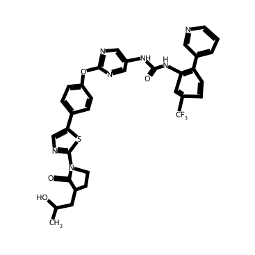 CC(O)CC1CCN(c2ncc(-c3ccc(Oc4ncc(NC(=O)Nc5cc(C(F)(F)F)ccc5-c5cccnc5)cn4)cc3)s2)C1=O